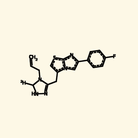 [2H]C1NN=C(Cc2csc3nc(-c4ccc(F)cc4)cn23)N1CC=C